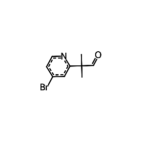 CC(C)(C=O)c1cc(Br)ccn1